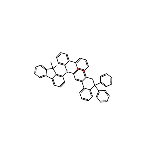 CC1(C)c2ccccc2-c2cccc(N(c3ccc4c(c3)-c3ccccc3C(c3ccccc3)(c3ccccc3)C4)c3ccccc3-c3ccccc3)c21